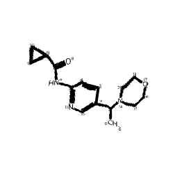 CC(c1ccc(NC(=O)C2CC2)nc1)N1CCOCC1